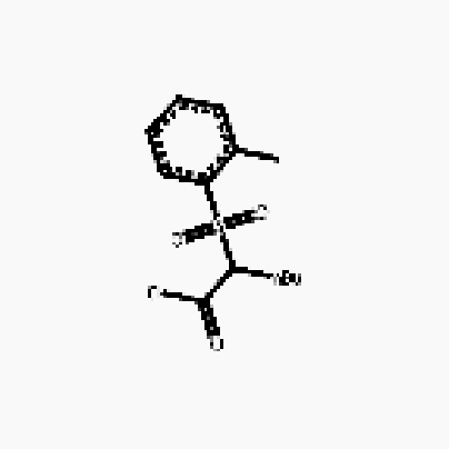 CCCCC(C(=O)Cl)S(=O)(=O)c1ccccc1C